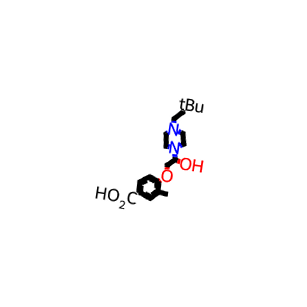 Cc1cc(C(=O)O)ccc1OCC(O)N1CCN(CCC(C)(C)C)CC1